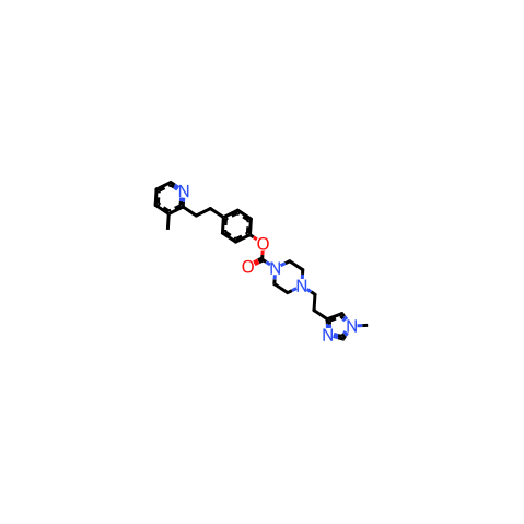 Cc1cccnc1CCc1ccc(OC(=O)N2CCN(CCc3cn(C)cn3)CC2)cc1